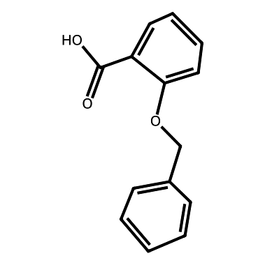 O=C(O)c1ccccc1OCc1ccccc1